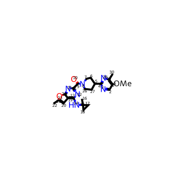 COc1cnc(C2CCN(C(=O)c3nc(NC4(C)CC4)c4cc(C)oc4n3)CC2)nc1C